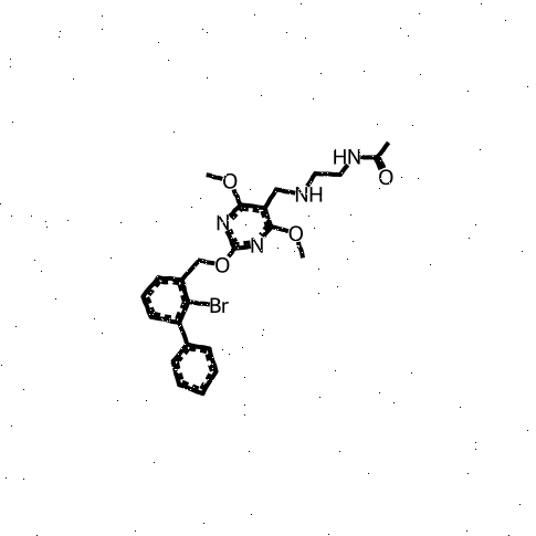 COc1nc(OCc2cccc(-c3ccccc3)c2Br)nc(OC)c1CNCCNC(C)=O